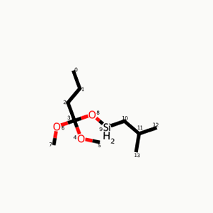 CCCC(OC)(OC)O[SiH2]CC(C)C